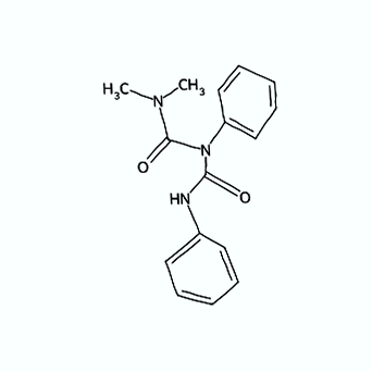 CN(C)C(=O)N(C(=O)Nc1ccccc1)c1ccccc1